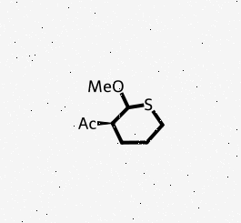 COC1SCCC[C@H]1C(C)=O